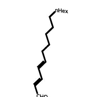 CCCCCCCCCCC/C=C/C=C/[C]=O